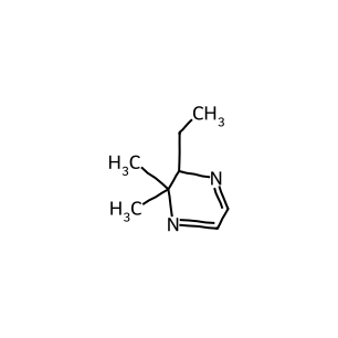 CCC1N=CC=NC1(C)C